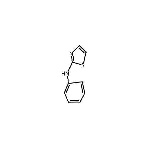 [c]1ccccc1Nc1nccs1